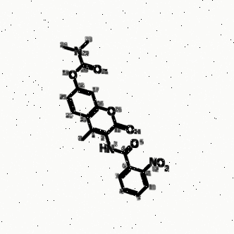 Cc1c(NC(=O)c2ccccc2[N+](=O)[O-])c(=O)oc2cc(OC(=O)N(C)C)ccc12